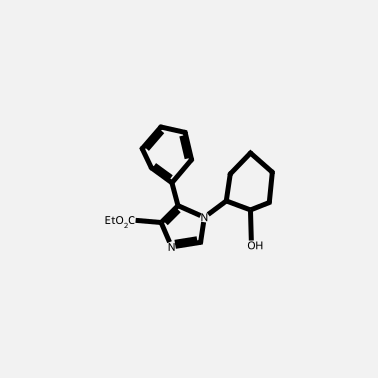 CCOC(=O)c1ncn(C2CCCCC2O)c1-c1ccccc1